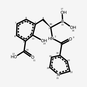 O=C(N[C@@H](Cc1cccc(C(=O)O)c1O)B(O)O)c1ccncc1